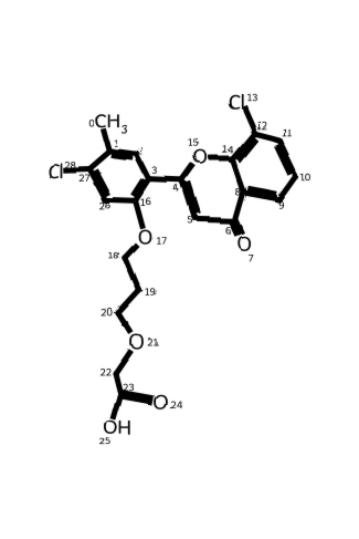 Cc1cc(-c2cc(=O)c3cccc(Cl)c3o2)c(OCCCOCC(=O)O)cc1Cl